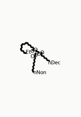 CC/C=C\C/C=C\C/C=C\C/C=C\CCCCC(=O)O[C@@H](COC(=O)CCCCCCC/C=C\CCCCCCCCC)COC(=O)CCCCCCCCCCCCCCCC